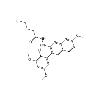 COc1cc(OC)c(Cl)c(-c2cc3cnc(SC)nc3nc2NNC(=O)CCCCl)c1